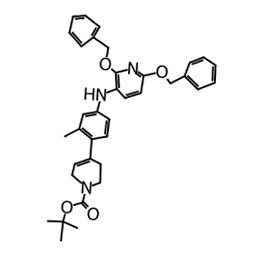 Cc1cc(Nc2ccc(OCc3ccccc3)nc2OCc2ccccc2)ccc1C1=CCN(C(=O)OC(C)(C)C)CC1